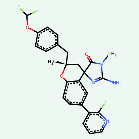 CN1C(=O)C2(C[C@@](C)(Cc3ccc(OC(F)F)cc3)Oc3ccc(-c4cccnc4F)cc32)N=C1N